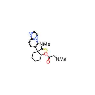 CNCC(=O)OC1CCCCC1(C(=S)NC)c1ccc2nccn2c1